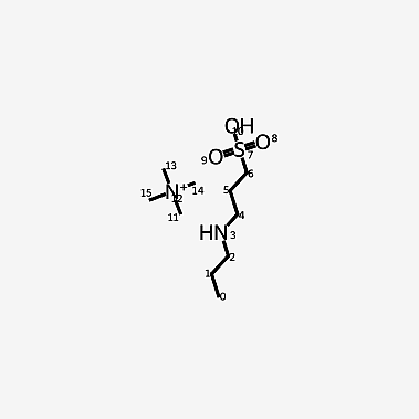 CCCNCCCS(=O)(=O)O.C[N+](C)(C)C